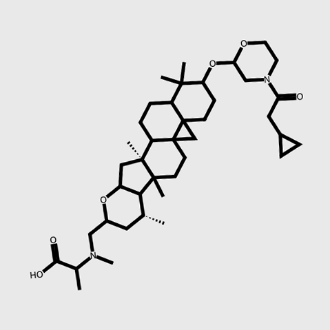 CC(C(=O)O)N(C)CC1C[C@@H](C)C2C(C[C@@]3(C)C4CCC5C(C)(C)C(OC6CN(C(=O)CC7CC7)CCO6)CCC56CC46CCC23C)O1